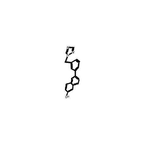 Oc1ccc2cc(-c3cccc(Cn4cncn4)c3)ccc2c1